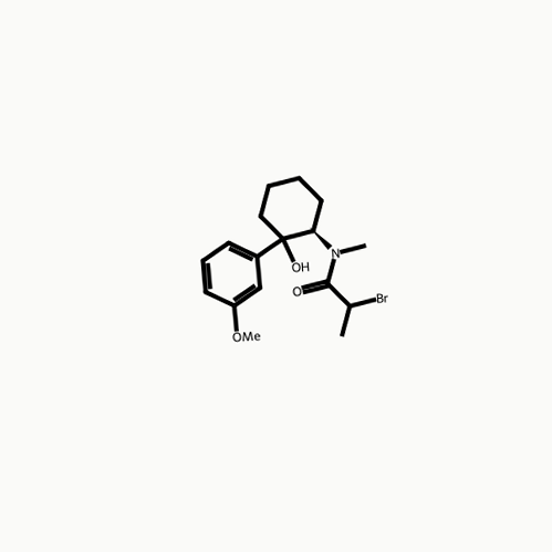 COc1cccc(C2(O)CCCC[C@H]2N(C)C(=O)C(C)Br)c1